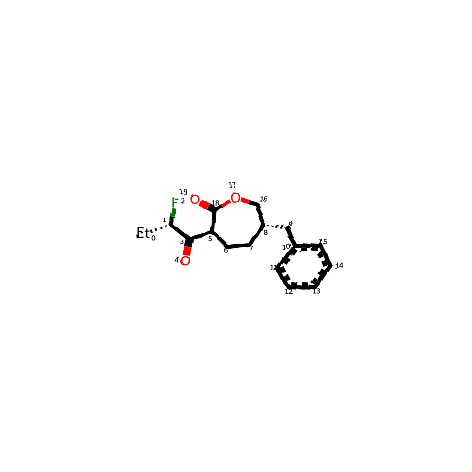 CC[C@H](F)C(=O)C1CC[C@@H](Cc2ccccc2)COC1=O